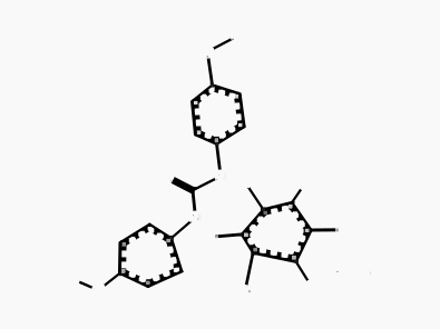 CCOc1ccc(NC(=S)Nc2ccc(OCC)cc2)cc1.Oc1c(Cl)c(Cl)c(Cl)c(Cl)c1Cl.[SrH2].[Ta]